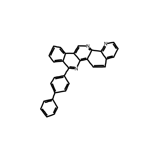 c1ccc(-c2ccc(-c3nc4c(cnc5c4ccc4cccnc45)c4ccccc34)cc2)cc1